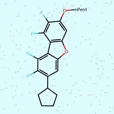 CCCCCOc1cc2oc3cc(C4CCCC4)c(F)c(F)c3c2c(F)c1F